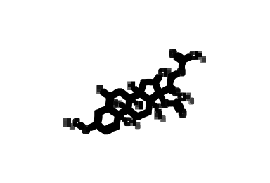 COC1=CC2=C(F)C[C@H]3[C@@H]4CC(C)[C@](OC(C)=O)(C(=O)COC(C)=O)[C@@]4(C)CC[C@]3(Br)[C@@]2(C)C=C1